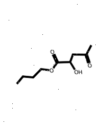 CCCCOC(=O)C(O)CC(C)=O